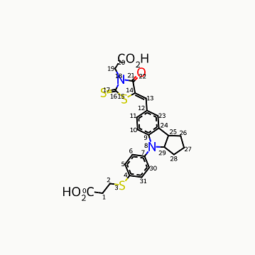 O=C(O)CCSc1ccc(N2c3ccc(/C=C4\SC(=S)N(CC(=O)O)C4=O)cc3C3CCCC32)cc1